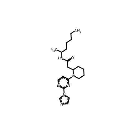 CCCCCC(C)NC(=O)CC1CCCCN1c1ccnc(-n2ccnc2)n1